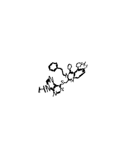 Cc1cccc2nc(CSc3ncnc4[nH]cnc34)n(CCc3ccccc3)c(=O)c12